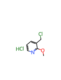 COc1ncccc1CCl.Cl